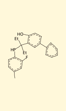 CCC(CC)(Pc1ccc(C)cc1F)c1cc(-c2ccccc2)ccc1O